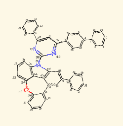 c1ccc(-c2ccc(-c3cc(-c4ccccc4)nc(-n4c5cccc6oc7ccccc7c7cc(-c8ccccc8)cc4c7c65)n3)cc2)cc1